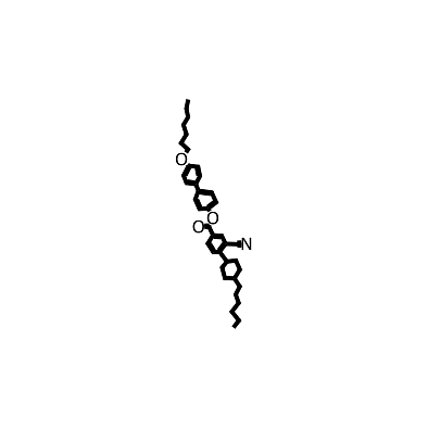 CCCCCCCOc1ccc(-c2ccc(OC(=O)c3ccc(C4CCC(CCCCCC)CC4)c(C#N)c3)cc2)cc1